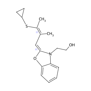 CC(/C=C1/Oc2ccccc2N1CCO)=C(\C)SC1CC1